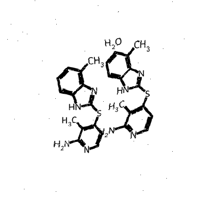 Cc1c(Sc2nc3c(C)cccc3[nH]2)ccnc1N.Cc1c(Sc2nc3c(C)cccc3[nH]2)ccnc1N.O